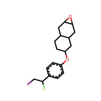 FC(CI)c1ccc(OC2CCC3CC4OC4CC3C2)cc1